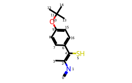 C=N/C(C)=C(\S)c1ccc(OC(C)(C)C)cc1